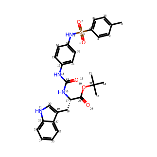 Cc1ccc(S(=O)(=O)Nc2ccc(NC(=O)N[C@@H](Cc3c[nH]c4ccccc34)C(=O)OC(C)(C)C)cc2)cc1